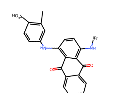 Cc1cc(Nc2ccc(NC(C)C)c3c2C(=O)c2ccccc2C3=O)ccc1S(=O)(=O)O